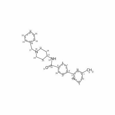 Cc1ccnc(-c2ccc(C(=O)NC3CCN(Cc4ccccc4)CC3)cc2)c1